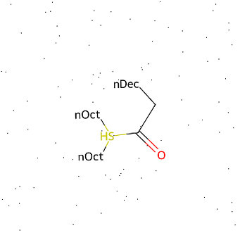 CCCCCCCCCCCC(=O)[SH](CCCCCCCC)CCCCCCCC